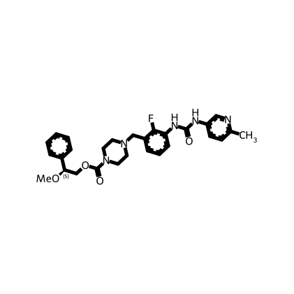 CO[C@H](COC(=O)N1CCN(Cc2cccc(NC(=O)Nc3ccc(C)nc3)c2F)CC1)c1ccccc1